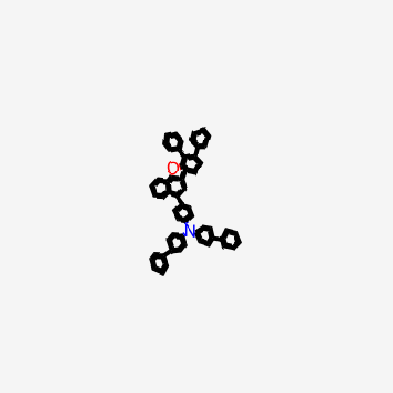 c1ccc(-c2ccc(N(c3ccc(-c4ccccc4)cc3)c3ccc(-c4cc5c6ccc(-c7ccccc7)c(-c7ccccc7)c6oc5c5ccccc45)cc3)cc2)cc1